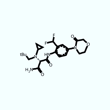 CC(C)(C)CN(C1CC1)[C@@H](C(N)=O)C(=O)Nc1ccc(N2CCOCC2=O)cc1C(F)F